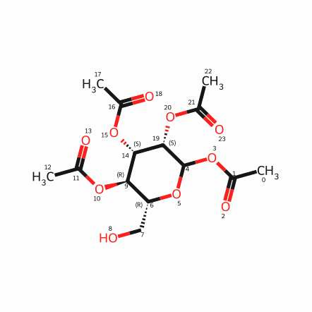 CC(=O)OC1O[C@H](CO)[C@@H](OC(C)=O)[C@H](OC(C)=O)[C@@H]1OC(C)=O